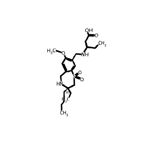 CCCC[C@]1(CC)CS(=O)(=O)c2cc(CNC(CC)CC(=O)O)c(OC)cc2CN1